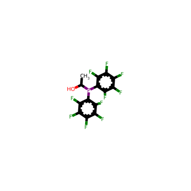 CC(O)P(c1c(F)c(F)c(F)c(F)c1F)c1c(F)c(F)c(F)c(F)c1F